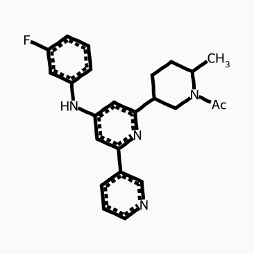 CC(=O)N1CC(c2cc(Nc3cccc(F)c3)cc(-c3cccnc3)n2)CCC1C